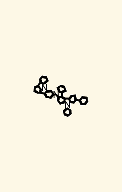 c1ccc(-c2ccc3c4c5c6ccccc6n(-c6ccc7c8cccc9c%10ccccc%10n(c7c6)c98)c5ccc4n(-c4ccccc4)c3c2)cc1